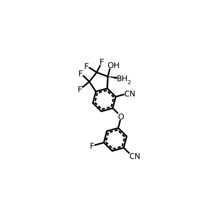 B[C@@]1(O)c2c(ccc(Oc3cc(F)cc(C#N)c3)c2C#N)C(F)(F)C1(F)F